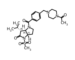 CC(=O)N1CCN(Cc2ccc(C(=O)N3CC[C@H]4[C@H]3[C@@H](C(C)C)C(=O)N4S(C)(=O)=O)cc2)CC1